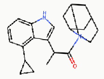 CC(C(=O)N1C2CC3CC(C2)CC1C3)c1c[nH]c2cccc(C3CC3)c12